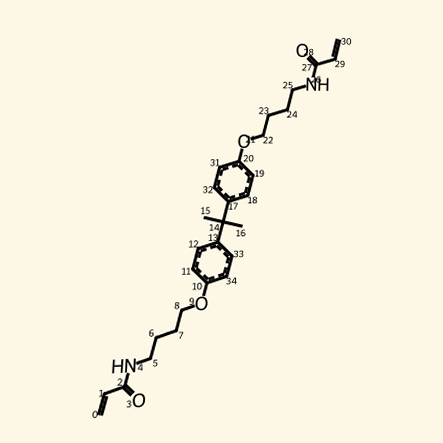 C=CC(=O)NCCCCOc1ccc(C(C)(C)c2ccc(OCCCCNC(=O)C=C)cc2)cc1